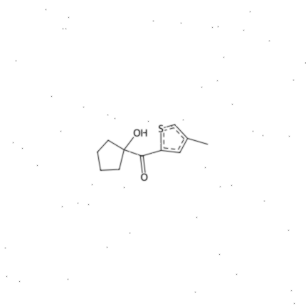 Cc1csc(C(=O)C2(O)CCCC2)c1